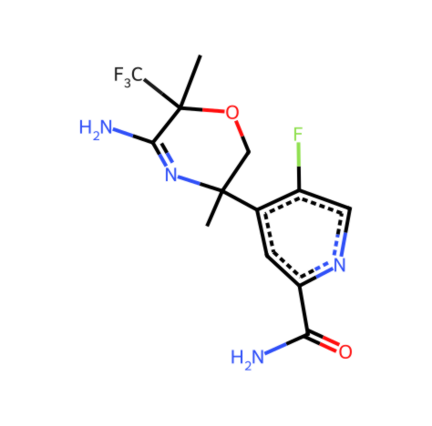 CC1(c2cc(C(N)=O)ncc2F)COC(C)(C(F)(F)F)C(N)=N1